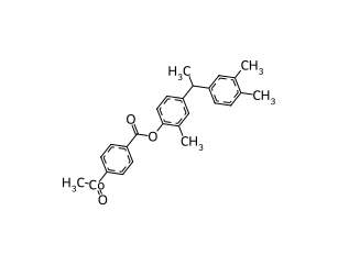 Cc1ccc(C(C)c2ccc(OC(=O)c3cc[c]([Co]([CH3])=[O])cc3)c(C)c2)cc1C